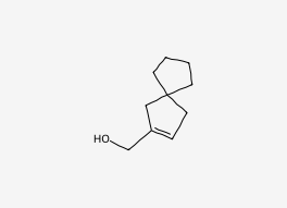 OCC1=CCC2(CCCC2)C1